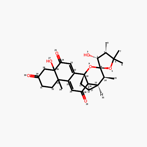 C[C@H]1[C@@H](O)[C@@]2(OC1(C)C)O[C@]13CC[C@H]([C@@H]2C)[C@@]1(C)C(=O)C=C1C3=CC(=O)C2(O)CC(=O)CCC12C